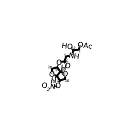 CC(=O)OCC(O)NCC(=O)O[C@@H]1CO[C@@H]2C(O[N+](=O)[O-])CO[C@@H]21